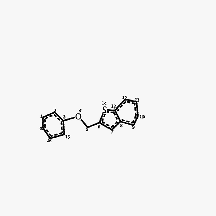 [c]1ccc(OCc2cc3ccccc3s2)cc1